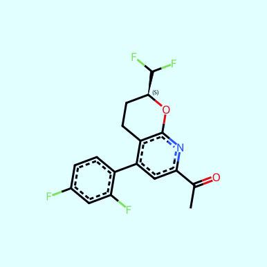 CC(=O)c1cc(-c2ccc(F)cc2F)c2c(n1)O[C@H](C(F)F)CC2